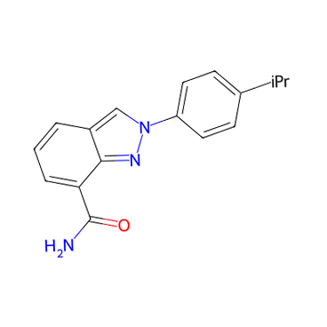 CC(C)c1ccc(-n2cc3cccc(C(N)=O)c3n2)cc1